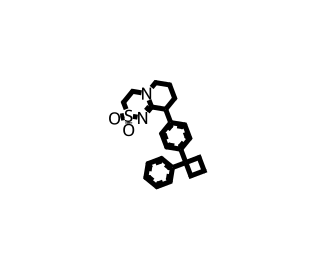 O=S1(=O)CCN2CCCC(c3ccc(C4(c5ccccc5)CCC4)cc3)C2=N1